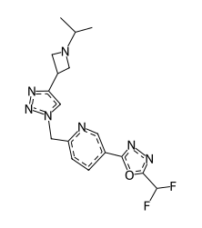 CC(C)N1CC(c2cn(Cc3ccc(-c4nnc(C(F)F)o4)cn3)nn2)C1